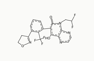 O=c1c(-c2cccc(C3=NOCC3)c2C(F)(F)F)c(O)c2nccnc2n1CC(F)F